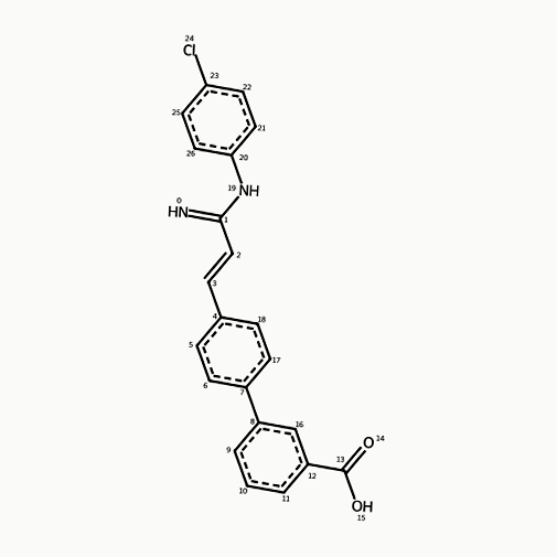 N=C(/C=C/c1ccc(-c2cccc(C(=O)O)c2)cc1)Nc1ccc(Cl)cc1